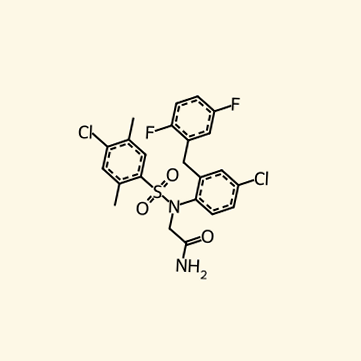 Cc1cc(S(=O)(=O)N(CC(N)=O)c2ccc(Cl)cc2Cc2cc(F)ccc2F)c(C)cc1Cl